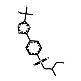 CCC(C)CS(=O)(=O)c1ccc(-c2noc(C(F)(F)F)n2)cc1